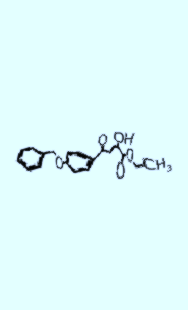 CCOC(=O)/C(O)=C/C(=O)c1ccc(OCc2ccccc2)cc1